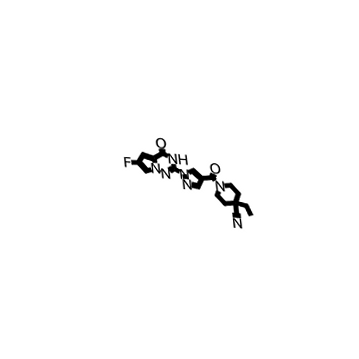 CCC1(C#N)CCN(C(=O)c2cnn(-c3nn4cc(F)cc4c(=O)[nH]3)c2)CC1